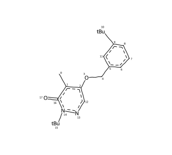 Cc1c(OCc2cccc(C(C)(C)C)c2)cnn(C(C)(C)C)c1=O